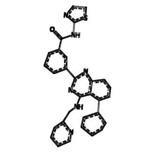 O=C(Nc1nccs1)c1cccc(-c2nc(NCc3ccccn3)c3c(-c4ccccc4)cccc3n2)c1